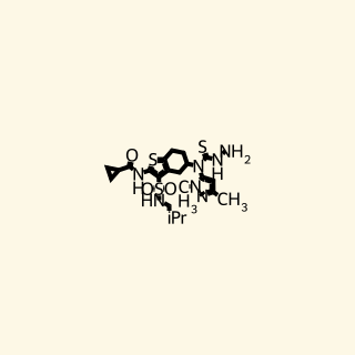 Cc1cc(N(C(=S)NN)C2CCc3sc(NC(=O)C4CC4)c(S(=O)(=O)NCC(C)C)c3C2)n(C)n1